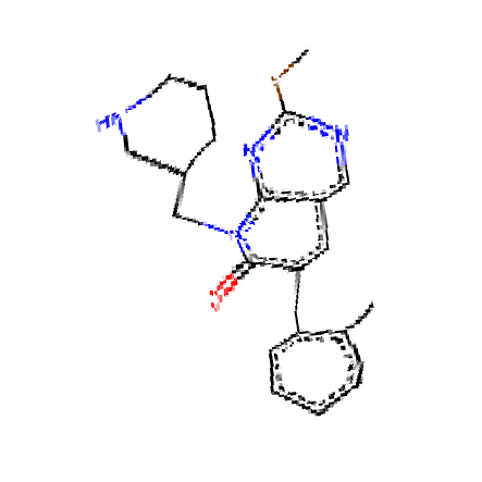 CSc1ncc2cc(-c3ccccc3C)c(=O)n(CC3CCCNC3)c2n1